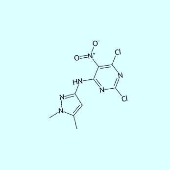 Cc1cc(Nc2nc(Cl)nc(Cl)c2[N+](=O)[O-])nn1C